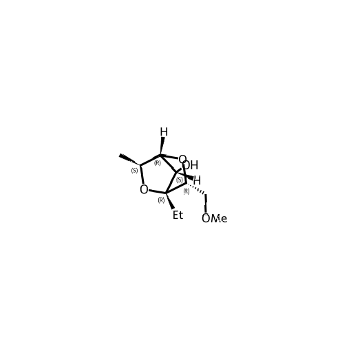 CC[C@]12O[C@@H](C)[C@H](O[C@@H]1COC)[C@@H]2O